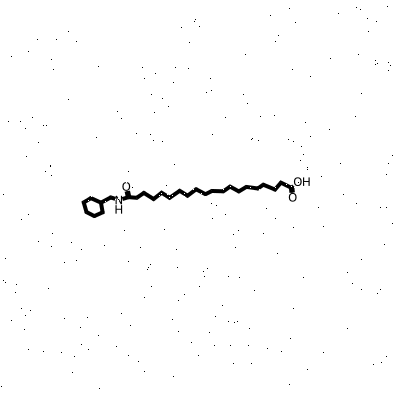 O=C(O)CCCCCCCCCCCCCCCCCCC(=O)NCC1CCCCC1